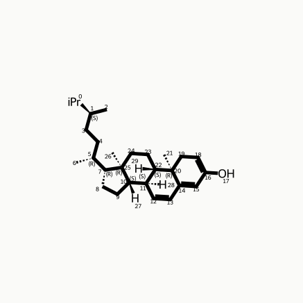 CC(C)[C@@H](C)CC[C@@H](C)[C@H]1CC[C@H]2[C@@H]3C=CC4=CC(O)=CC[C@]4(C)[C@H]3CC[C@]12C